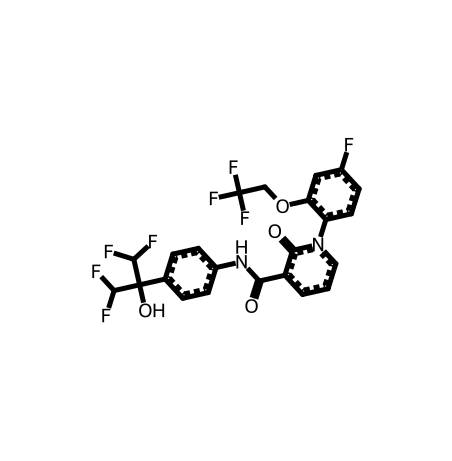 O=C(Nc1ccc(C(O)(C(F)F)C(F)F)cc1)c1cccn(-c2ccc(F)cc2OCC(F)(F)F)c1=O